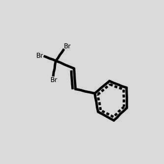 BrC(Br)(Br)C=Cc1ccccc1